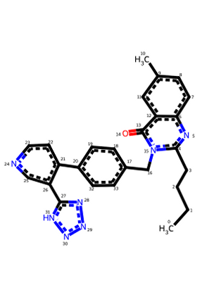 CCCCc1nc2ccc(C)cc2c(=O)n1Cc1ccc(-c2ccncc2-c2nnn[nH]2)cc1